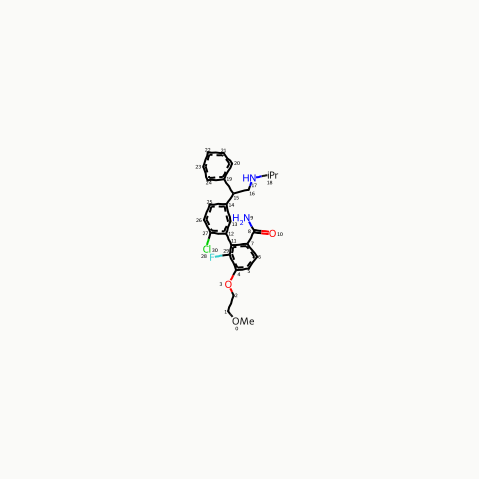 COCCOc1ccc(C(N)=O)c(-c2cc(C(CNC(C)C)c3ccccc3)ccc2Cl)c1F